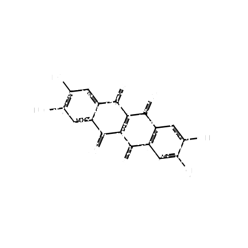 Cc1cc2c(=S)c3c(=S)c4cc(C)c(C)cc4c(=S)c=3c(=S)c2cc1C